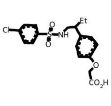 CCC(CNS(=O)(=O)c1ccc(Cl)cc1)c1ccc(OCC(=O)O)cc1